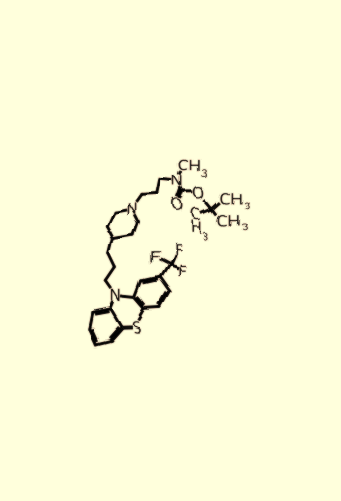 CN(CCCN1CCC(CCCN2c3ccccc3Sc3ccc(C(F)(F)F)cc32)CC1)C(=O)OC(C)(C)C